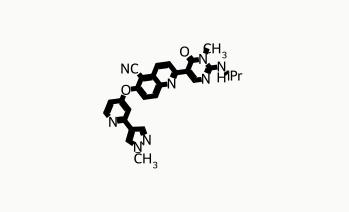 CC(C)Nc1ncc(-c2ccc3c(C#N)c(Oc4ccnc(-c5cnn(C)c5)c4)ccc3n2)c(=O)n1C